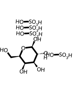 O=S(=O)(O)O.O=S(=O)(O)O.O=S(=O)(O)O.O=S(=O)(O)O.OC[C@H]1O[C@@H](O)[C@H](O)[C@@H](O)[C@H]1O